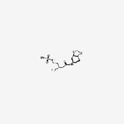 CC(CCNS(=O)(=O)C(C)C)CC(=O)Nc1ccc2c(c1)OCO2